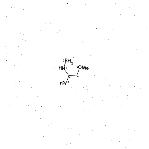 BNC(CCC)COC